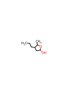 CCCC1C[C@H](O)OC1C